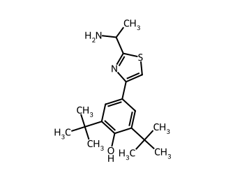 CC(N)c1nc(-c2cc(C(C)(C)C)c(O)c(C(C)(C)C)c2)cs1